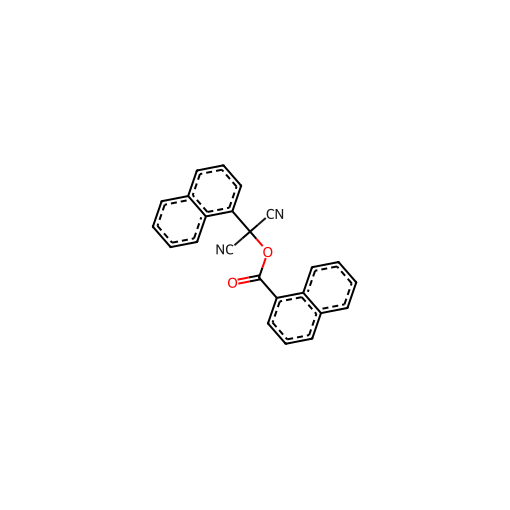 N#CC(C#N)(OC(=O)c1cccc2ccccc12)c1cccc2ccccc12